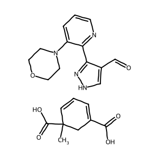 CC1(C(=O)O)C=CC=C(C(=O)O)C1.O=Cc1c[nH]nc1-c1ncccc1N1CCOCC1